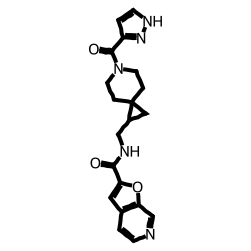 O=C(NCC1CC12CCN(C(=O)c1cc[nH]n1)CC2)c1cc2ccncc2o1